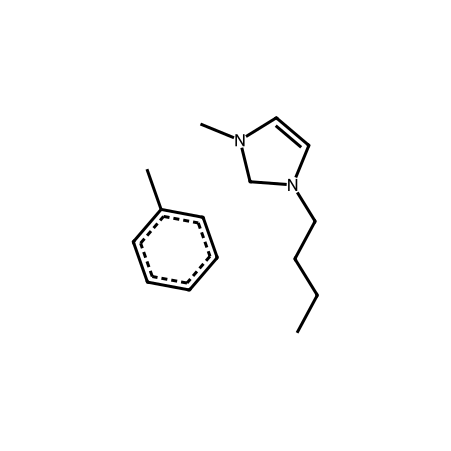 CCCCN1C=CN(C)C1.Cc1ccccc1